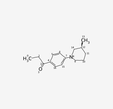 CCC(=O)c1ccc(N2CCC[C@H](C)C2)cc1